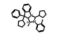 Cc1ccccc1N1C(C2CCCC2)N2c3ccccc3C(c3ccccc3)(C3CCCC3)C2[C@@H]1C